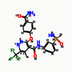 Cc1c(C(F)(F)F)nnc(Oc2ccc(C(N)=O)cc2)c1C(=O)Nc1cccc(S(C)(=N)=O)c1